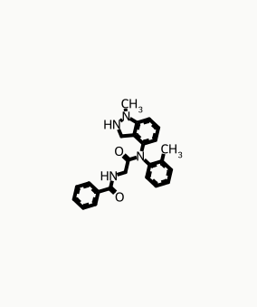 Cc1ccccc1N(C(=O)CNC(=O)c1ccccc1)c1cccc2c1CNN2C